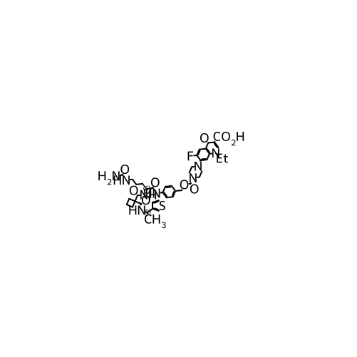 CCn1cc(C(=O)O)c(=O)c2cc(F)c(N3CCN(C(=O)OCc4ccc(NC(=O)[C@H](CCCNC(N)=O)NC(=O)C5(C(=O)N[C@H](C)c6ccsc6)CCC5)cc4)CC3)cc21